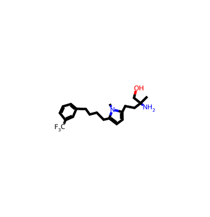 Cn1c(CCCCc2cccc(C(F)(F)F)c2)ccc1CCC(C)(N)CO